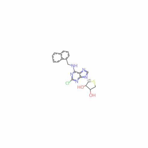 OC1CS[C@@H](n2cnc3c(NCc4cccc5ccccc45)nc(Cl)nc32)C1O